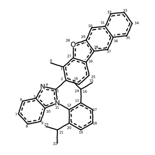 Cc1c(-c2nc3ccccc3n2-c2c(C(C)C)cccc2C(C)C)ccc2c1oc1cc3ccccc3cc12